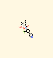 CC(C)CC(C(=O)Nc1ccc(-c2ccncc2)cc1C(F)(F)F)N(C(=O)O)C(C)(C)C